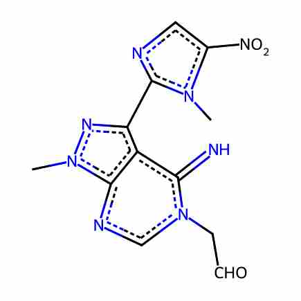 Cn1c([N+](=O)[O-])cnc1-c1nn(C)c2ncn(CC=O)c(=N)c12